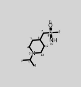 CC(C)N1CCC(CS(C)(=N)=O)CC1